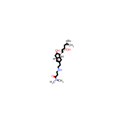 CCCC[C@H](C)C[C@H](O)/C=C/[C@@H]1[C@H]2CC(CCNCCC(=O)N(C)C)=C[C@H]2C[C@H]1O